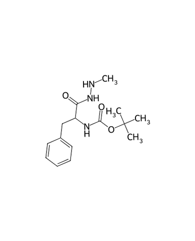 CNNC(=O)C(Cc1ccccc1)NC(=O)OC(C)(C)C